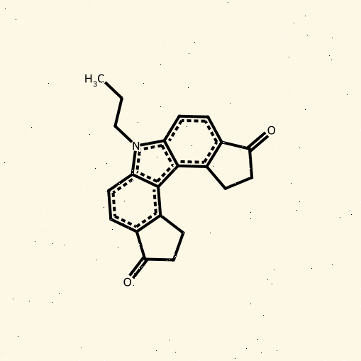 CCCn1c2ccc3c(c2c2c4c(ccc21)C(=O)CC4)CCC3=O